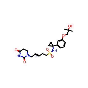 CC(C)(O)COc1cccc(C2(NS(=O)(=O)CC/C=C/CN3CCC(=O)NC3=O)CC2)c1